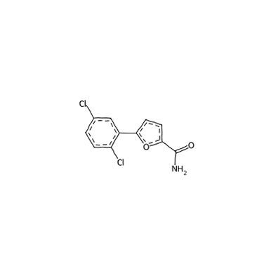 NC(=O)c1ccc(-c2cc(Cl)ccc2Cl)o1